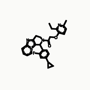 CCc1nc(C)ccc1OCC(=O)N1CCc2nc3ccccn3c2C1c1ccc(C2CC2)cc1F